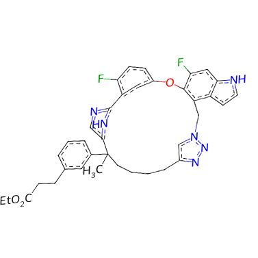 CCOC(=O)CCc1cccc(C2(C)CCCCc3cn(nn3)Cc3c(c(F)cc4[nH]ccc34)Oc3ccc(F)c(c3)-c3ncc2[nH]3)c1